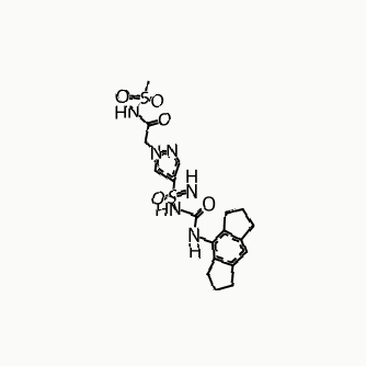 CS(=O)(=O)NC(=O)Cn1cc(S(=N)(=O)NC(=O)Nc2c3c(cc4c2CCC4)CCC3)cn1